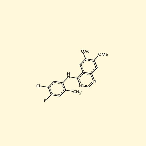 [CH2]c1cc(F)c(Cl)cc1Nc1ncnc2cc(OC)c(OC(C)=O)cc12